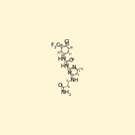 Cc1cc(NCCC(N)=O)nc(NC(=O)Nc2ccc(Cl)c(C(F)(F)F)c2)n1